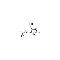 CC(=O)SCc1nc(C)sc1CO